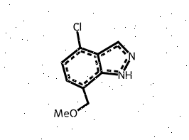 COCc1ccc(Cl)c2cn[nH]c12